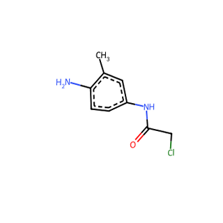 Cc1cc(NC(=O)CCl)ccc1N